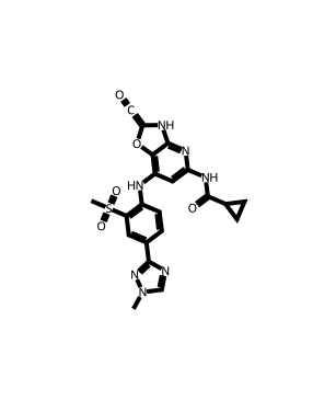 Cn1cnc(-c2ccc(Nc3cc(NC(=O)C4CC4)nc4c3OC(=C=O)N4)c(S(C)(=O)=O)c2)n1